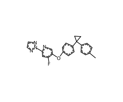 Cc1ccc(C2(c3ccc(Oc4cnc(-n5nccn5)cc4F)cc3)CC2)cc1